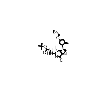 C=C1C[C@@H](OSBr)C[C@@H]1n1cnc2c1NC(NNC(=O)OC(C)(C)C)N=C2Cl